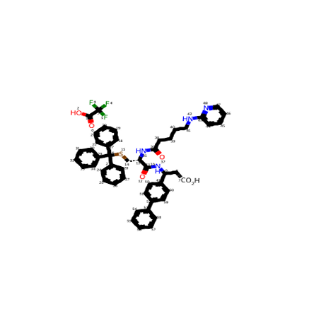 O=C(O)C(F)(F)F.O=C(O)CC(NC(=O)[C@H](CSC(c1ccccc1)(c1ccccc1)c1ccccc1)NC(=O)CCCCNc1ccccn1)c1ccc(-c2ccccc2)cc1